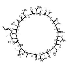 C/C=C/C[C@@H](C)[C@@H](O)[C@@H]1C(=O)NC([C@@H](C)O)C(=O)N(C)CC(=O)N(C)[C@@H](CC(C)C)C(=O)N[C@H](CC(C)C)C(=O)N(C)[C@H](CC(C)C)C(=O)N[C@H](C)C(=O)O[C@@H](C(C)C)C(=O)N(C)[C@H](CC(C)C)C(=O)N[C@H](CC(C)C)C(=O)N(C)[C@H](C(C)C)C(=O)N1C